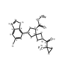 CC(C)(C)OC(=O)[C@@H]1CN(c2cc(F)cc3ncsc23)CC12CN(C(=O)C1(C(F)(F)F)CC1)C2